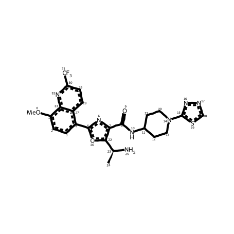 COc1ccc(-c2nc(C(=O)NC3CCN(c4nncs4)CC3)c([C@H](C)N)o2)c2ccc(C(F)(F)F)nc12